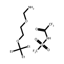 CCC(CC)(CC)OCCOCN.O=C(NS(=O)(=O)C(F)(F)F)C(F)(F)F